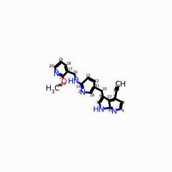 C#Cc1ccnc2[nH]cc(Cc3ccc(NCc4cccnc4OC)nc3)c12